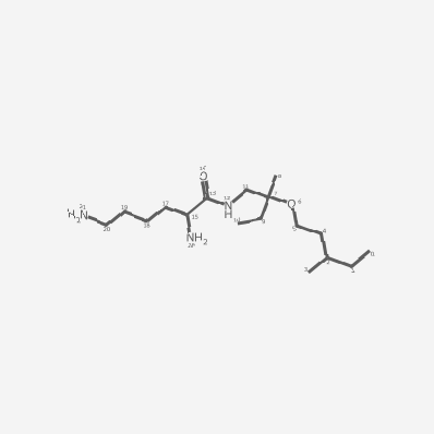 CCC(C)CCOC(C)(CC)CNC(=O)C(N)CCCCN